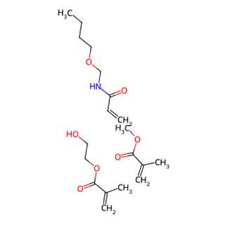 C=C(C)C(=O)OC.C=C(C)C(=O)OCCO.C=CC(=O)NCOCCCC